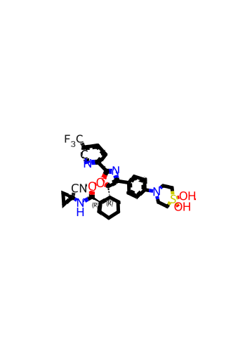 N#CC1(NC(=O)[C@@H]2CCCC[C@H]2c2oc(-c3ccc(C(F)(F)F)cn3)nc2-c2ccc(N3CCS(O)(O)CC3)cc2)CC1